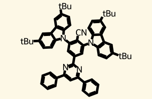 CC(C)(C)c1ccc2c(c1)c1cc(C(C)(C)C)ccc1n2-c1cc(-c2nc(-c3ccccc3)cc(-c3ccccc3)n2)cc(-n2c3ccc(C(C)(C)C)cc3c3cc(C(C)(C)C)ccc32)c1C#N